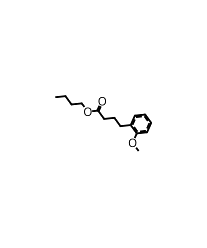 CCCCOC(=O)CCCc1ccccc1OC